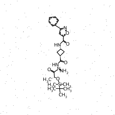 C[C@@H](O[Si](C)(C)C(C)(C)C)C(=O)N(N)NC(=O)[C@H]1C[C@H](NC(=O)c2cc(-c3ccccc3)no2)C1